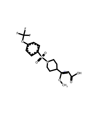 CO/C(=C\C(=O)O)C1CCN(S(=O)(=O)c2ccc(OC(F)(F)F)cc2)CC1